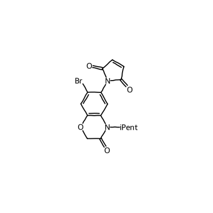 CCCC(C)N1C(=O)COc2cc(Br)c(N3C(=O)C=CC3=O)cc21